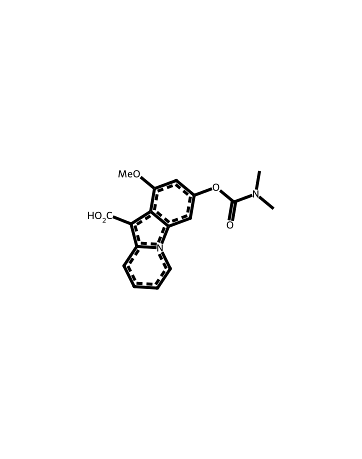 COc1cc(OC(=O)N(C)C)cc2c1c(C(=O)O)c1ccccn12